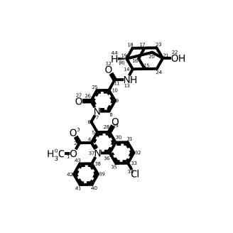 COC(=O)c1c(Cn2ccc(C(=O)NC3C4CC5C[C@@H]3CC(O)(C5)C4)cc2=O)c(=O)c2ccc(Cl)cc2n1-c1ccccc1